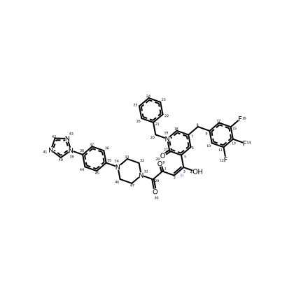 O=C(/C=C(/O)c1cc(Cc2cc(F)c(F)c(F)c2)cn(Cc2ccccc2)c1=O)C(=O)N1CCN(c2ccc(-n3cncn3)cc2)CC1